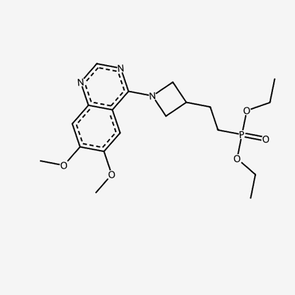 CCOP(=O)(CCC1CN(c2ncnc3cc(OC)c(OC)cc23)C1)OCC